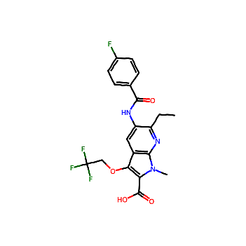 CCc1nc2c(cc1NC(=O)c1ccc(F)cc1)c(OCC(F)(F)F)c(C(=O)O)n2C